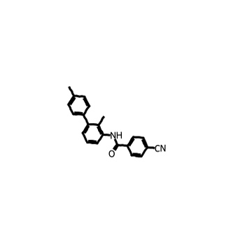 Cc1ccc(-c2cccc(NC(=O)c3ccc(C#N)cc3)c2C)cc1